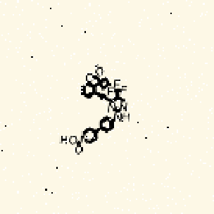 COC(=O)C1(c2ccccc2C#Cc2nc(Nc3ccc(C4CCN(C(=O)O)CC4)cc3)ncc2C(F)(F)F)CCC1